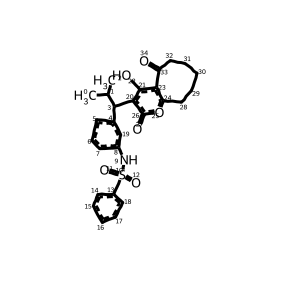 CC(C)C(c1cccc(NS(=O)(=O)c2ccccc2)c1)c1c(O)c2c(oc1=O)CCCCCC2=O